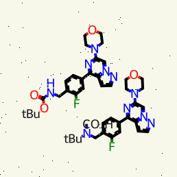 CC(C)(C)N(Cc1ccc(-c2nc(N3CCOCC3)cn3nccc23)cc1F)C(=O)O.CC(C)(C)OC(=O)NCc1ccc(-c2nc(N3CCOCC3)cn3nccc23)cc1F